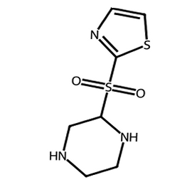 O=S(=O)(c1nccs1)C1CNCCN1